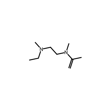 C=C(C)N(C)CCN(C)CC